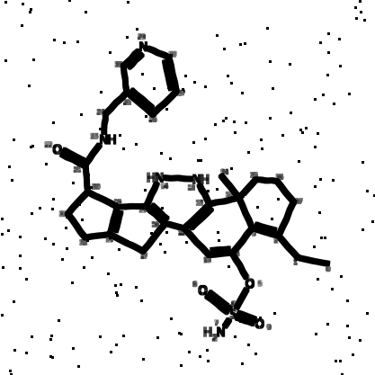 CCC1=C2C(OS(N)(=O)=O)=CC3=C(NNC4=C3CC3=C4C(C(=O)NCc4cccnc4)CC3)C2(C)CCC1